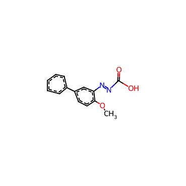 COc1ccc(-c2ccccc2)cc1N=NC(=O)O